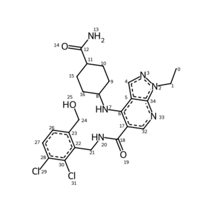 CCn1ncc2c(NC3CCC(C(N)=O)CC3)c(C(=O)NCc3c(CO)ccc(Cl)c3Cl)cnc21